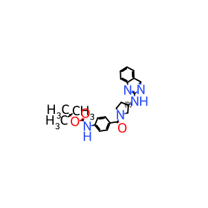 CC(C)(C)OC(=O)Nc1ccc(C(=O)N2CC[C@@H](Nc3ncc4ccccc4n3)C2)cc1